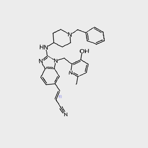 Cc1ccc(O)c(Cn2c(NC3CCN(Cc4ccccc4)CC3)nc3ccc(/C=C/C#N)cc32)n1